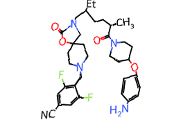 CCC(CC[C@@H](C)C(=O)N1CCC(Oc2ccc(N)cc2)CC1)CN1CC2(CCN(Cc3c(F)cc(C#N)cc3F)CC2)OC1=O